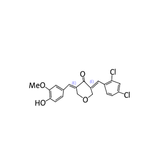 COc1cc(/C=C2\COC/C(=C\c3ccc(Cl)cc3Cl)C2=O)ccc1O